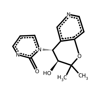 CC1(C)Oc2ccncc2[C@@H](n2cccnc2=O)[C@@H]1O